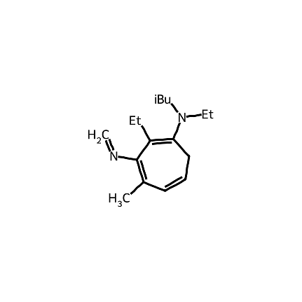 C=NC1=C(C)C=CCC(N(CC)C(C)CC)=C1CC